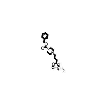 COC(CCCN1CCN(C(=O)OCc2ccccc2)CC1)OC